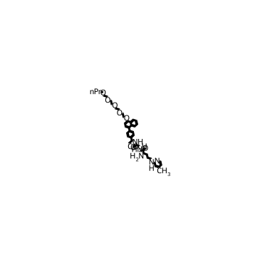 CCCOCCOCCOCCOCCOc1ccc(-c2ccc(C(CC(=O)O)NC(=O)CNC(=O)C(N)CCCNc3cc(C)ccn3)cc2)c2ccccc12